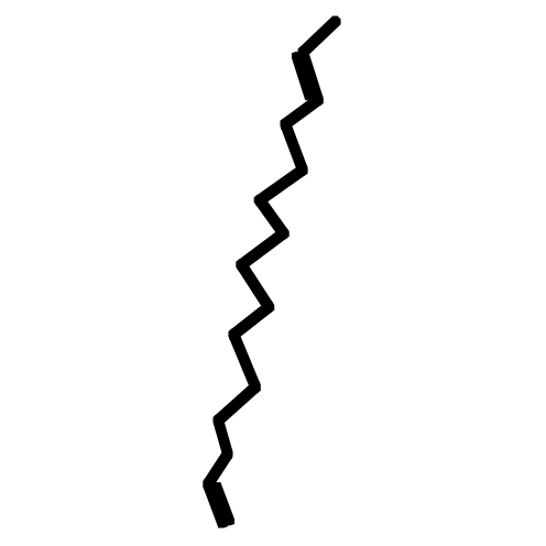 C=CCCCCCCCCCCC=CC